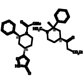 CCOC(=O)CC(=O)[C@H]1CCN(C(=O)O)[C@](C)(c2ccccc2)C1.COC(=O)N1CC[C@H](c2cc(=O)[nH]o2)C[C@H]1c1ccccc1